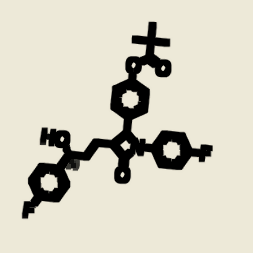 CC(C)(C)C(=O)Oc1ccc(C2C(CC[C@H](O)c3ccc(F)cc3)C(=O)N2c2ccc(F)cc2)cc1